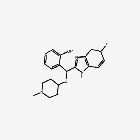 CN1CCC(OC(c2nc3c([nH]2)C=CC(F)C3)c2ccccc2O)CC1